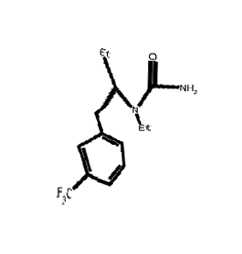 CCC(Cc1cccc(C(F)(F)F)c1)N(CC)C(N)=O